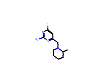 CC1CCCCN1Cc1cc(Cl)nc(N)n1